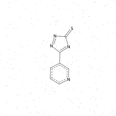 S=C1N=NC(c2cccnc2)=N1